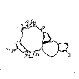 C[C@@H]1[C@@H](C)CCC[C@](O)(CC(N)=O)[C@@H]2CC[C@H]2CN2CCCCc3cc(Cl)ccc3COc3ccc(cc32)C(=O)NS1(=O)=O